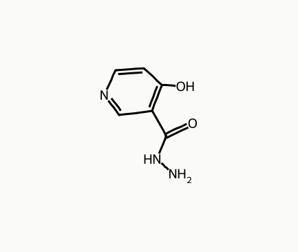 NNC(=O)c1cnccc1O